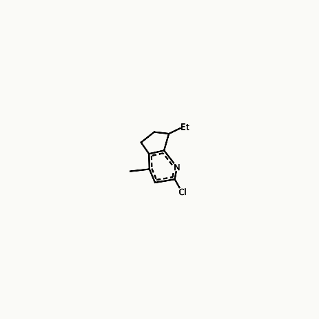 CCC1CCc2c(C)cc(Cl)nc21